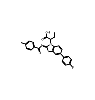 CCC(C(=O)O)n1c(=NC(=O)c2ccc(C)cc2)sc2cc(-c3ccc(F)cc3)ccc21